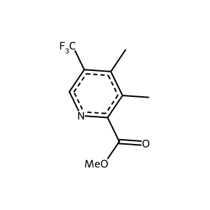 COC(=O)c1ncc(C(F)(F)F)c(C)c1C